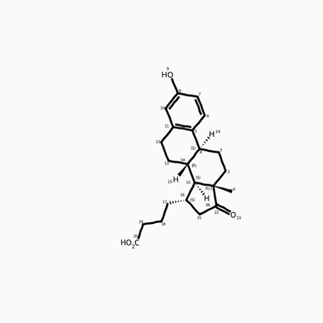 C[C@]12CC[C@@H]3c4ccc(O)cc4CC[C@H]3[C@@H]1[C@@H](CCCC(=O)O)CC2=O